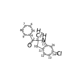 CC1(C(=O)c2ccccc2)[CH]c2ccc(Cl)cc2N1